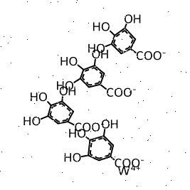 O=C([O-])c1cc(O)c(O)c(O)c1.O=C([O-])c1cc(O)c(O)c(O)c1.O=C([O-])c1cc(O)c(O)c(O)c1.O=C([O-])c1cc(O)c(O)c(O)c1.[W+4]